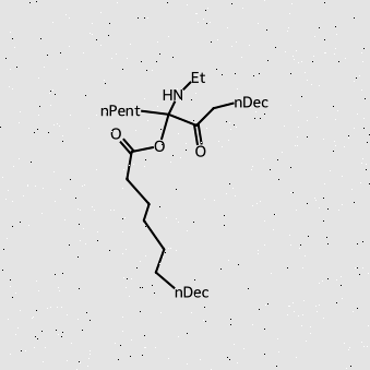 CCCCCCCCCCCCCCCC(=O)OC(CCCCC)(NCC)C(=O)CCCCCCCCCCC